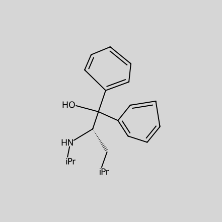 CC(C)C[C@H](NC(C)C)C(O)(c1ccccc1)c1ccccc1